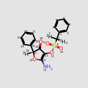 [2H]C([2H])(c1ccccc1)S(=O)(=O)OC1=C(N)O[C@]([2H])(c2ccccc2)C1=O